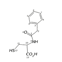 O=C(Cc1ccccc1)NC(CS)C(=O)O